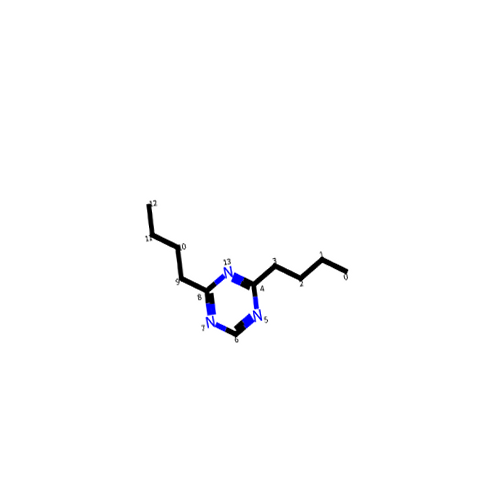 CCCCc1ncnc(CCCC)n1